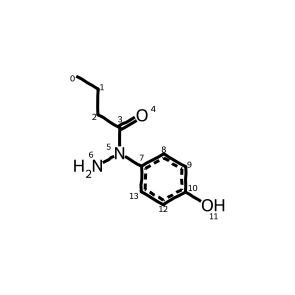 CCCC(=O)N(N)c1ccc(O)cc1